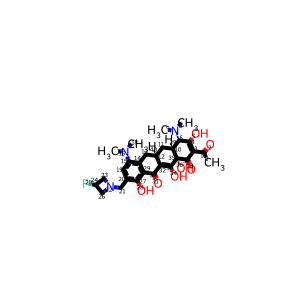 CC(=O)C1=C(O)[C@@H](N(C)C)[C@@H]2C[C@@H]3Cc4c(N(C)C)cc(CN5CC(F)C5)c(O)c4C(=O)C3=C(O)[C@]2(O)C1=O